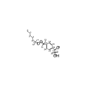 CCCCCC(C)(C)OOC(C)(C)c1ccc(C(=O)C(C)(C)O)cc1